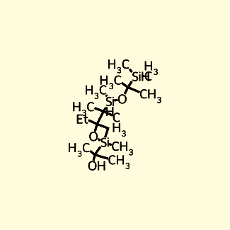 CCC1(C(C)(C)[SiH](C)OC(C)(C)[SiH](C)C)C[Si](C)(C(C)(C)O)O1